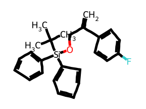 C=C(CO[Si](c1ccccc1)(c1ccccc1)C(C)(C)C)c1ccc(F)cc1